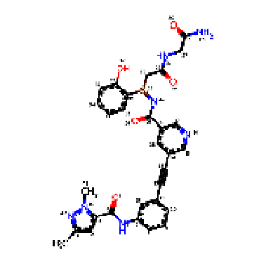 Cc1cc(C(=O)Nc2cccc(C#Cc3cncc(C(=O)N=S(CC(=O)NCC(N)=O)c4ccccc4O)c3)c2)n(C)n1